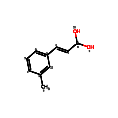 Cc1cccc(C=CB(O)O)c1